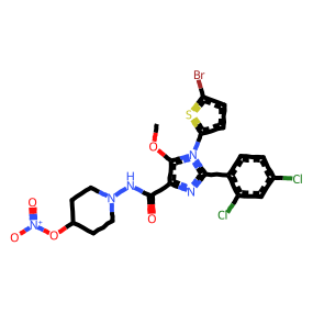 COc1c(C(=O)NN2CCC(O[N+](=O)[O-])CC2)nc(-c2ccc(Cl)cc2Cl)n1-c1ccc(Br)s1